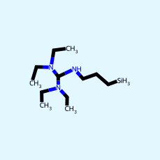 CCN(CC)C(NCCC[SiH3])N(CC)CC